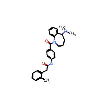 Cc1ccccc1CC(=O)Nc1ccc(C(=O)N2CCCC(N(C)C)c3ccccc32)cc1